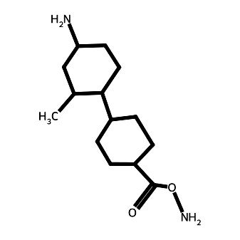 CC1CC(N)CCC1C1CCC(C(=O)ON)CC1